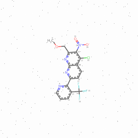 COCc1nc2nc(-c3ncccc3C(F)(F)F)ccc2c(Cl)c1[N+](=O)[O-]